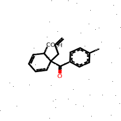 C=CCC1(C(=O)c2ccc(C)cc2)C=CC=CC1C(=O)O